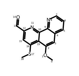 COc1cc2cccnc2c2nc(C=O)cc(SC)c12